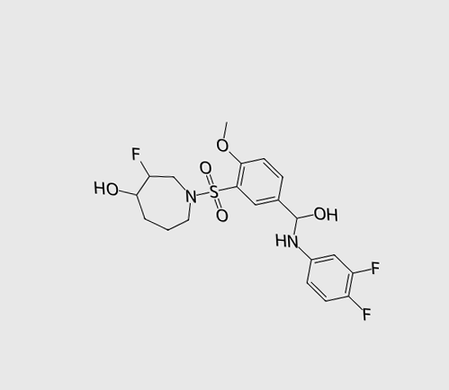 COc1ccc(C(O)Nc2ccc(F)c(F)c2)cc1S(=O)(=O)N1CCCC(O)C(F)C1